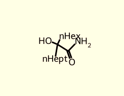 CCCCCCCC(O)(CCCCCC)C(N)=O